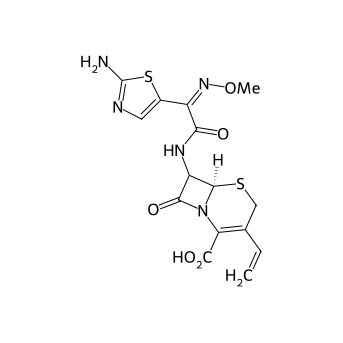 C=CC1=C(C(=O)O)N2C(=O)C(NC(=O)/C(=N\OC)c3cnc(N)s3)[C@H]2SC1